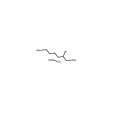 CCCCCCCCCCCCCCC(Br)CCCCCCCCCCC.CNC